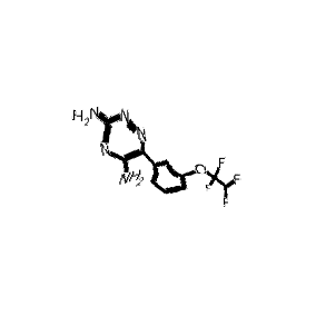 Nc1nnc(-c2cccc(OC(F)(F)C(F)F)c2)c(N)n1